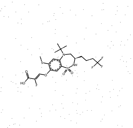 CSc1cc2c(cc1O/C=C(\F)C(=O)O)S(=O)(=O)N[C@H](CCCC(F)(F)F)CN2C(C)(C)C